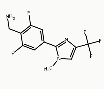 Cn1cc(C(F)(F)F)nc1-c1cc(F)c(CN)c(F)c1